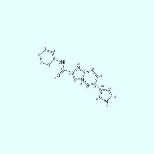 O=C(Nc1ccccc1)c1cn2cc(-n3ccnc3)ccc2n1